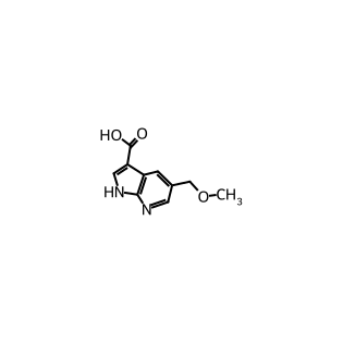 COCc1cnc2[nH]cc(C(=O)O)c2c1